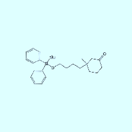 CC1(CCCCO[Si](c2ccccc2)(c2ccccc2)C(C)(C)C)CCCC(=O)C1